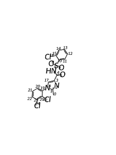 Cc1nc(C(=O)NS(=O)(=O)c2ccccc2Cl)cn1-c1cccc(Cl)c1Cl